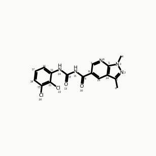 Cc1nn(C)c2ncc(C(=O)NC(=O)Nc3cccc(Cl)c3Cl)cc12